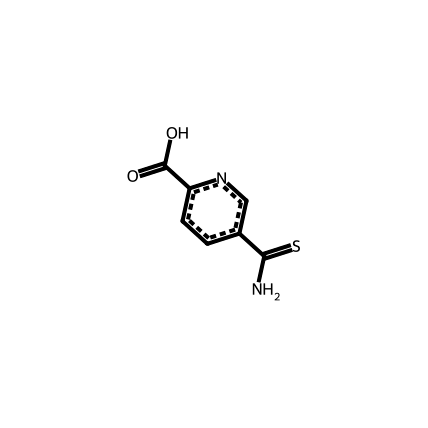 NC(=S)c1ccc(C(=O)O)nc1